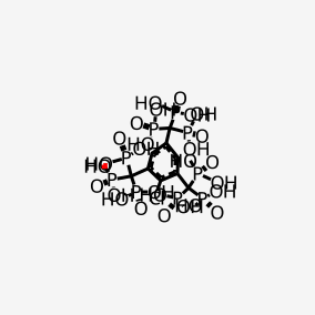 O=P(O)(O)C(c1cc(C(P(=O)(O)O)(P(=O)(O)O)P(=O)(O)O)c(Cl)c(C(P(=O)(O)O)(P(=O)(O)O)P(=O)(O)O)c1)(P(=O)(O)O)P(=O)(O)O